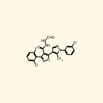 O=CNNC(=O)c1c(-c2c(F)cccc2Cl)noc1-c1cnn(-c2cccc(Cl)c2)c1C(F)(F)F